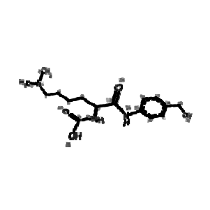 CN(C)CCCCC(NC(=O)O)C(=O)Nc1ccc(CO)cc1